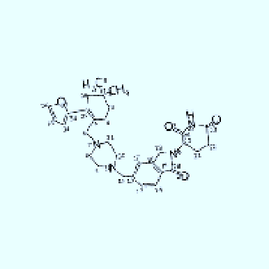 CC1(C)CCC(CN2CCN(Cc3ccc4c(c3)CN(C3CCC(=O)NC3=O)C4=O)CC2)=C(c2ccco2)C1